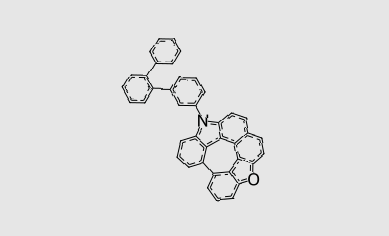 c1ccc(-c2ccccc2-c2cccc(-n3c4cccc5c4c4c6c(ccc7oc8cccc-5c8c76)ccc43)c2)cc1